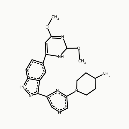 COC1=NC(OC)NC(c2ccc3[nH]nc(-c4cncc(N5CCC(N)CC5)n4)c3c2)=C1